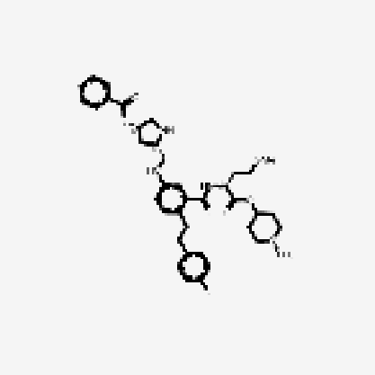 CSCC[C@H](NC(=O)c1cc(NC[C@@H]2C[C@H](SC(=O)c3ccccc3)CN2)ccc1CCc1ccc(F)cc1)C(=O)OC1CCN(C)CC1